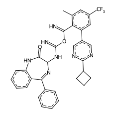 Cc1cc(C(F)(F)F)cc(-c2cnc(C3CCC3)nc2)c1C(=N)OC(=N)NC1N=C(c2ccccc2)c2ccccc2NC1=O